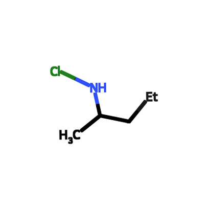 CCCC(C)NCl